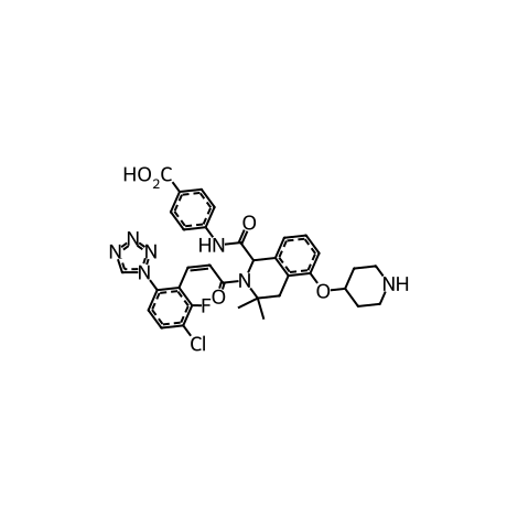 CC1(C)Cc2c(OC3CCNCC3)cccc2C(C(=O)Nc2ccc(C(=O)O)cc2)N1C(=O)C=Cc1c(-n2cnnn2)ccc(Cl)c1F